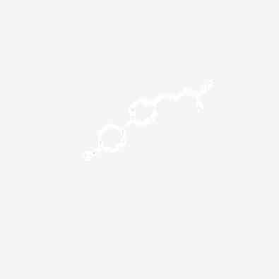 CC[C@H]1CC[C@H](c2ccc(CCC=C(F)F)cc2)CC1